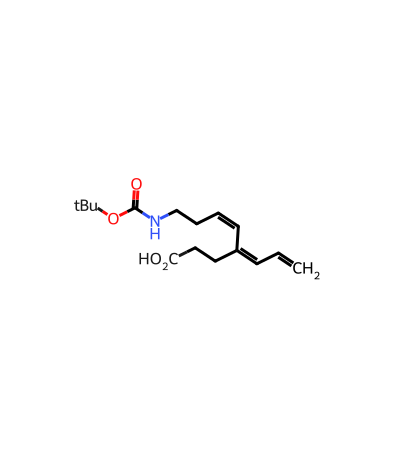 C=C/C=C(\C=C/CCNC(=O)OC(C)(C)C)CCC(=O)O